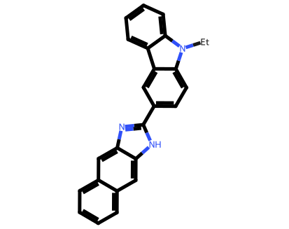 CCn1c2ccccc2c2cc(-c3nc4cc5ccccc5cc4[nH]3)ccc21